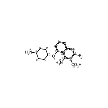 CCc1nc2cccc(O[C@H]3CC[C@H](N)CC3)c2c(N)c1C(=O)O